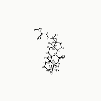 COC(=O)CC[C@@H](C)[C@H]1CCC2C3C(=O)C[C@@H]4[C@H]5O[C@H]5CC[C@]4(C)C3CC[C@@]21C